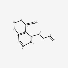 C=CCSc1nncc2c1C(=O)CCC2